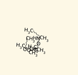 CCCCCCC(C)NCCOCCC(C)(C)OCCC(C)(C)OCC(=O)C(C)CCCCC